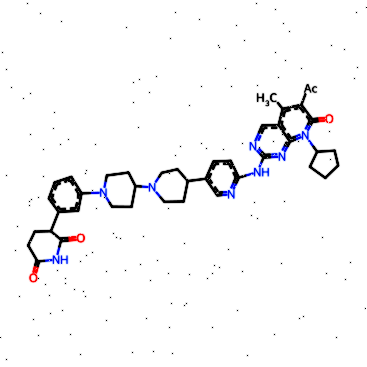 CC(=O)c1c(C)c2cnc(Nc3ccc(C4CCN(C5CCN(c6cccc(C7CCC(=O)NC7=O)c6)CC5)CC4)cn3)nc2n(C2CCCC2)c1=O